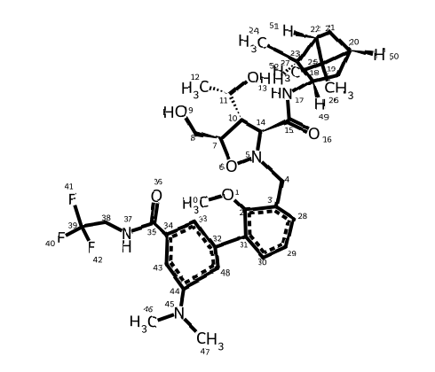 COc1c(CN2O[C@@H](CO)[C@H]([C@H](C)O)[C@H]2C(=O)N[C@H]2C[C@H]3C[C@@H]([C@@H]2C)C3(C)C)cccc1-c1cc(C(=O)NCC(F)(F)F)cc(N(C)C)c1